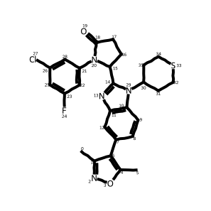 Cc1noc(C)c1-c1ccc2c(c1)nc(C1CCC(=O)N1c1cc(F)cc(Cl)c1)n2C1CCSCC1